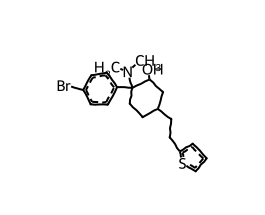 CN(C)C1(c2ccc(Br)cc2)CCC(CCc2cccs2)CC1O